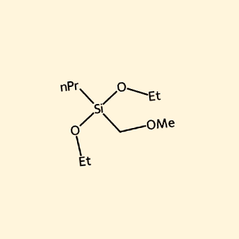 CCC[Si](COC)(OCC)OCC